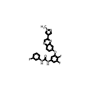 Cn1cc(-c2cnc3ccc(Oc4cc(NC(=O)Nc5cccc(F)c5)cc(F)c4F)cc3n2)cn1